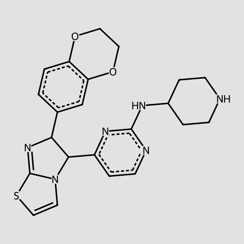 C1=CN2C(=NC(c3ccc4c(c3)OCCO4)C2c2ccnc(NC3CCNCC3)n2)S1